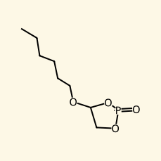 CCCCCCOC1CO[P](=O)O1